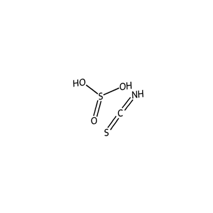 N=C=S.O=S(O)O